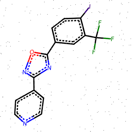 FC(F)(F)c1cc(-c2nc(-c3ccncc3)no2)ccc1I